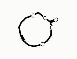 O=C1CCCCCC/C=C\CCCCCC1